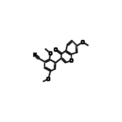 COc1cc(C#N)c(OC)c(-c2coc3cc(OC)ccc3c2=O)c1